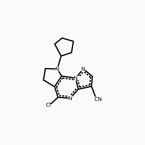 N#Cc1cnn2c3c(c(Cl)nc12)CCN3C1CCCC1